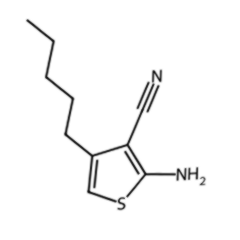 CCCCCc1csc(N)c1C#N